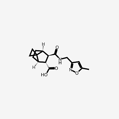 Cc1cc(CNC(=O)[C@H]2[C@H](C(=O)O)[C@H]3CC[C@@H]2C32CC2)no1